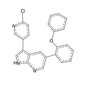 Clc1ccc(-c2c[nH]c3ncc(-c4ccccc4Oc4ccccc4)cc23)cn1